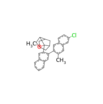 COC1(c2cc3ccccc3cc2-c2cc3ccc(Cl)cc3cc2C)C2CC3CC(C2)C1C3